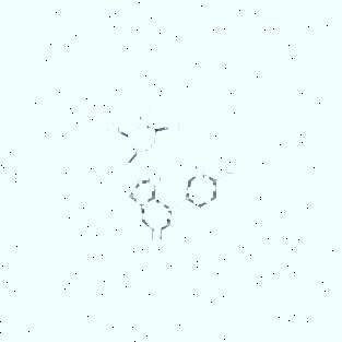 O=C1NC(=O)C(=Cc2cc3cncc(-c4ccc(F)nc4)c3o2)S1